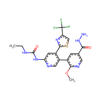 CCNC(=O)Nc1cc(-c2nc(C(F)(F)F)cs2)c(-c2cc(C(=O)NN)cnc2OC)cn1